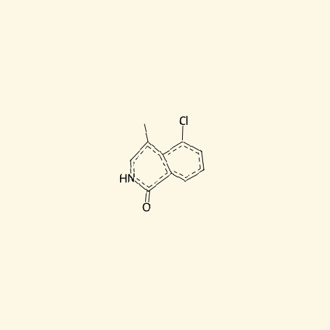 Cc1c[nH]c(=O)c2cccc(Cl)c12